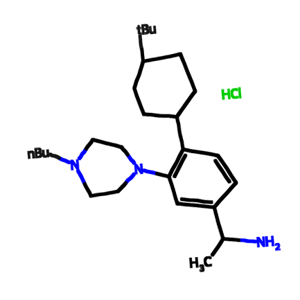 CCCCN1CCN(c2cc(C(C)N)ccc2C2CCC(C(C)(C)C)CC2)CC1.Cl